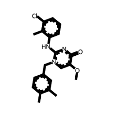 COc1cn(Cc2ccc(C)c(C)c2)c(Nc2cccc(Cl)c2C)nc1=O